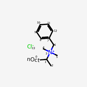 CCCCCCCCC(C)[N+](C)(C)Cc1ccccc1.[Cl-]